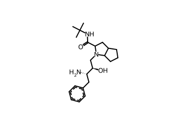 CC(C)(C)NC(=O)C1CC2CCCC2N1C[C@@H](O)[C@@H](N)Cc1ccccc1